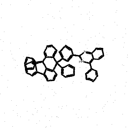 c1ccc(C2=c3ccccc3=NC(c3cccc(C4(c5ccccc5)c5ccccc5C5(c6ccccc6)c6ccccc6-c6cccc4c65)c3)N2)cc1